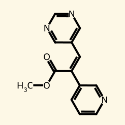 COC(=O)C(=Cc1cncnc1)c1cccnc1